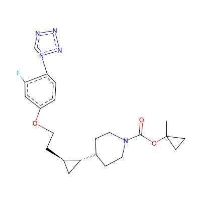 CC1(OC(=O)N2CCC([C@@H]3C[C@H]3CCOc3ccc(-n4cnnn4)c(F)c3)CC2)CC1